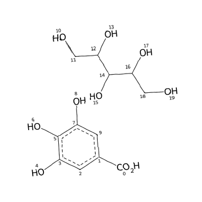 O=C(O)c1cc(O)c(O)c(O)c1.OCC(O)C(O)C(O)CO